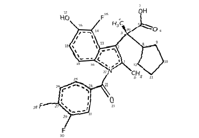 Cc1c([C@](C)(C(=O)O)C2CCCC2)c2c(F)c(O)ccc2n1C(=O)c1ccc(F)c(F)c1